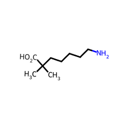 CC(C)(CCCCCN)C(=O)O